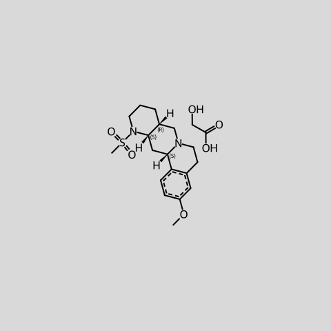 COc1ccc2c(c1)CCN1C[C@H]3CCCN(S(C)(=O)=O)[C@H]3C[C@@H]21.O=C(O)CO